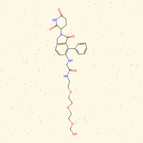 O=C(CNc1ccc2c(c1-c1ccccc1)C(=O)N(C1CCC(=O)NC1=O)C2)NCCOCCOCCOCO